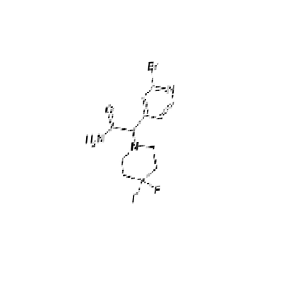 NC(=O)C(c1ccnc(Br)c1)N1CCC(F)(F)CC1